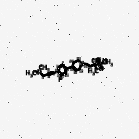 CN(C)CC#Cc1ccc(C2=CCN(CCC(C)(C(=O)O)S(C)(=O)=O)CC2)cc1F